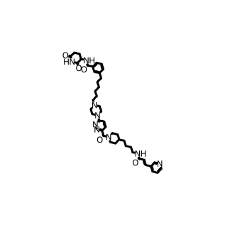 O=C(C=Cc1cccnc1)NCCCCC1CCN(C(=O)c2ccc(N3CCN(CCCCCCc4cccc(C(=O)NC5CCC(=O)NC5=O)c4)CC3)nn2)CC1